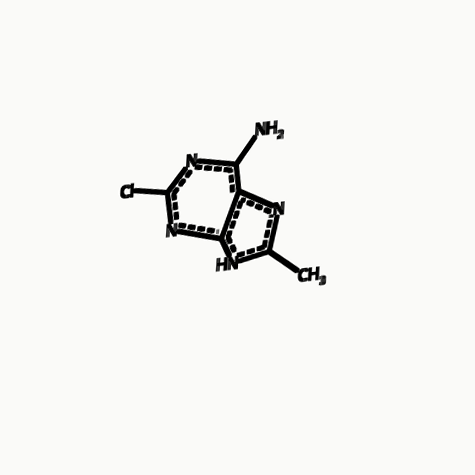 Cc1nc2c(N)nc(Cl)nc2[nH]1